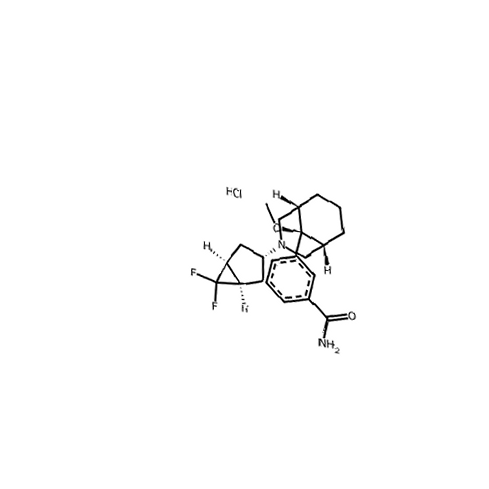 CO[C@]1(c2cccc(C(N)=O)c2)[C@@H]2CCC[C@H]1CN([C@@H]1C[C@@H]3[C@H](C1)C3(F)F)C2.Cl